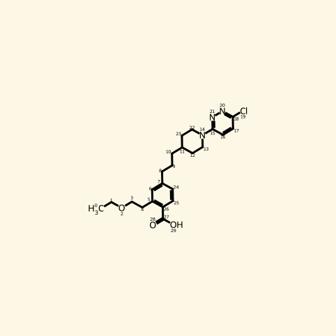 CCOCCc1cc(CCCC2CCN(c3ccc(Cl)nn3)CC2)ccc1C(=O)O